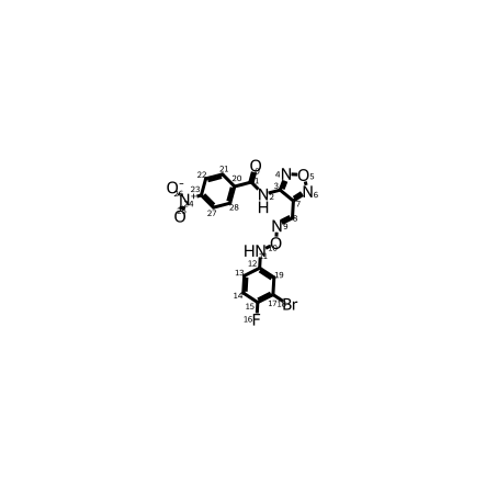 O=C(Nc1nonc1/C=N/ONc1ccc(F)c(Br)c1)c1ccc([N+](=O)[O-])cc1